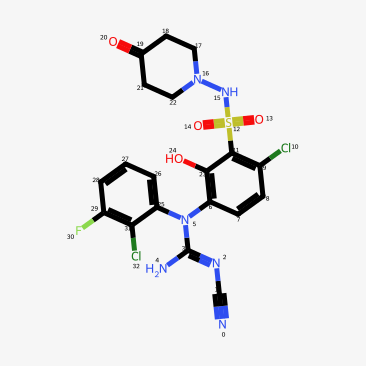 N#CN=C(N)N(c1ccc(Cl)c(S(=O)(=O)NN2CCC(=O)CC2)c1O)c1cccc(F)c1Cl